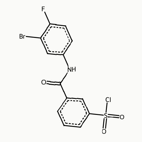 O=C(Nc1ccc(F)c(Br)c1)c1cccc(S(=O)(=O)Cl)c1